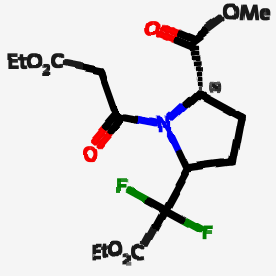 CCOC(=O)CC(=O)N1C(C(F)(F)C(=O)OCC)CC[C@H]1C(=O)OC